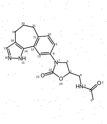 CC(=O)NCC1CN(c2ccc3c(c2)-c2[nH]ncc2CCC3)C(=O)O1